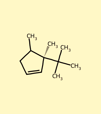 CC1CC=C[C@]1(C)C(C)(C)C